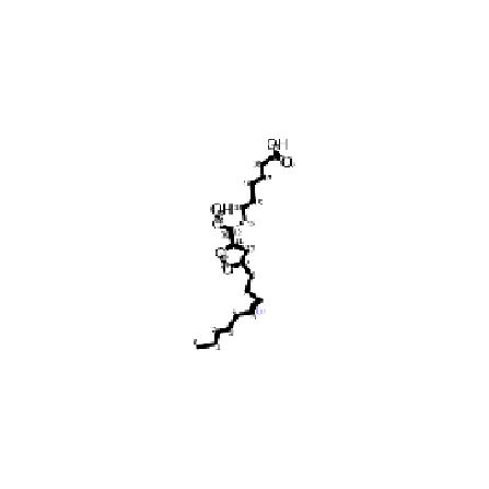 CCCCC/C=C\CCC1CC([C@@H](CCCCCCC(=O)O)OO)OO1